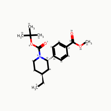 CC[C@H]1CCN(C(=O)OC(C)(C)C)[C@H](c2ccc(C(=O)OC)cc2)C1